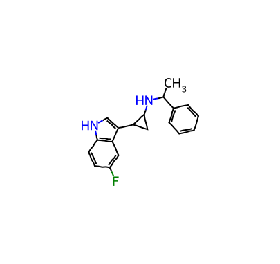 CC(NC1CC1c1c[nH]c2ccc(F)cc12)c1ccccc1